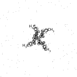 Cc1ccc(C(=O)OOC(=O)OCC(COC(=O)OOC(=O)c2ccc(C)cc2)(COC(=O)OOC(=O)c2ccc(C)cc2)COC(=O)OOC(=O)c2ccc(C)cc2)cc1